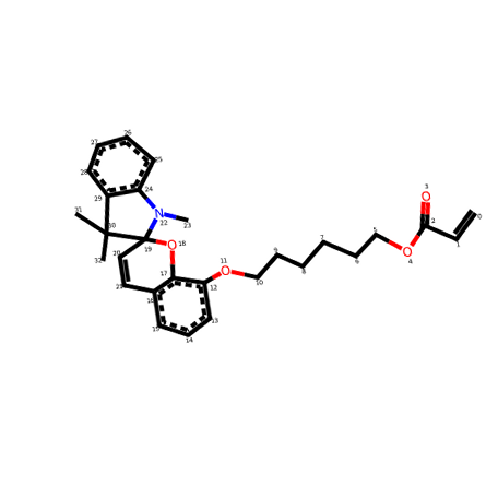 C=CC(=O)OCCCCCCOc1cccc2c1OC1(C=C2)N(C)c2ccccc2C1(C)C